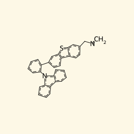 C=NCc1ccc2c(c1)sc1cc(-c3ccccc3-n3c4ccccc4c4ccccc43)ccc12